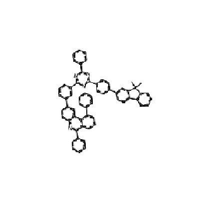 CC1(C)c2ccccc2-c2ccc(-c3ccc(-c4nc(-c5ccccc5)nc(-c5cccc(-c6ccc7nc(-c8ccccc8)c8cccc(-c9ccccc9)c8c7c6)c5)n4)cc3)cc21